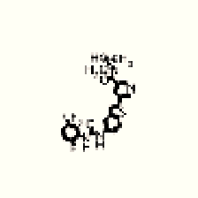 C[SH](C)(O)=NC(=O)c1cncc(-c2cc3cc(NC(=O)Nc4cc(C(F)(F)F)ccc4F)ccc3s2)c1